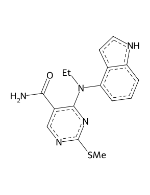 CCN(c1nc(SC)ncc1C(N)=O)c1cccc2[nH]ccc12